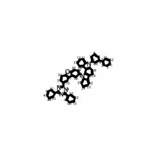 c1ccc(-c2cccc(-n3c4ccccc4c4c3ccc3c5ccccc5n(-c5ccc6oc7ccc(-c8nc(-c9ccccc9)nc(-c9ccccc9)n8)cc7c6c5)c34)c2)cc1